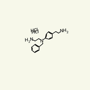 Cl.Cl.NCCc1ccc(N(CCN)Cc2ccccc2)cc1